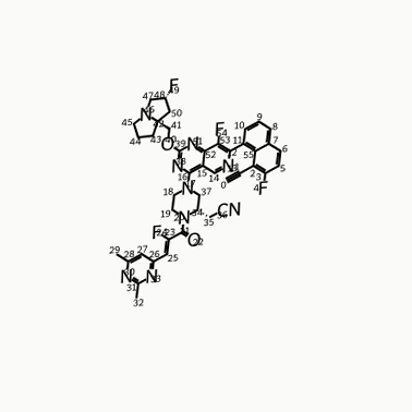 C#Cc1c(F)ccc2cccc(-c3ncc4c(N5CCN(C(=O)/C(F)=C/c6cc(C)nc(C)n6)[C@@H](CC#N)C5)nc(OC[C@@]56CCCN5C[C@H](F)C6)nc4c3F)c12